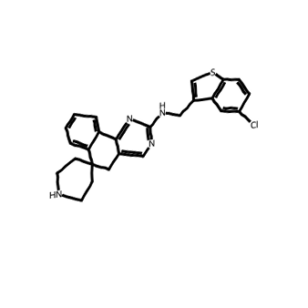 Clc1ccc2scc(CNc3ncc4c(n3)-c3ccccc3C3(CCNCC3)C4)c2c1